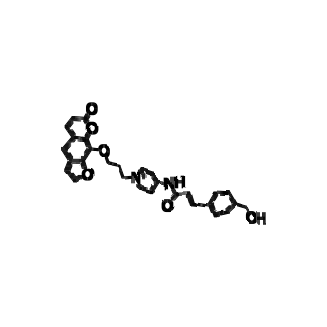 O=C(/C=C/c1ccc(CO)cc1)Nc1cc[n+](CCCOc2c3occc3cc3ccc(=O)oc23)cc1